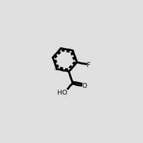 O=C(O)c1[c]cccc1F